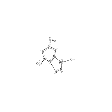 O=[N+]([O-])c1cc([N+](=O)[O-])c2c(c1)[NH+]([O-])N=N2